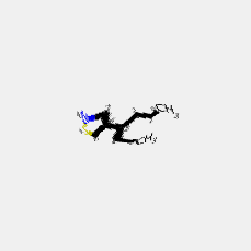 CCCC(CC)c1cnsc1